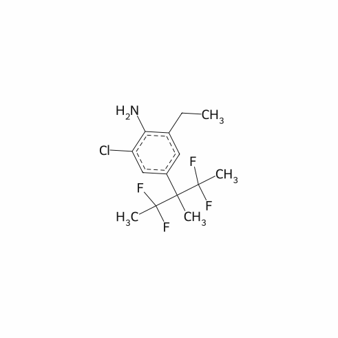 CCc1cc(C(C)(C(C)(F)F)C(C)(F)F)cc(Cl)c1N